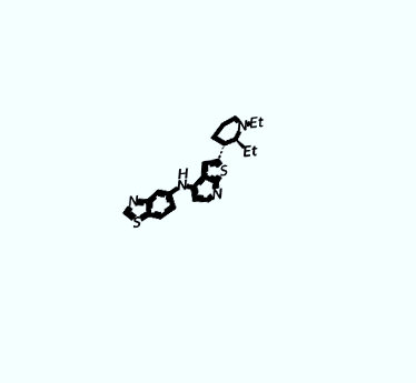 CC[C@H]1[C@H](c2cc3c(Nc4ccc5scnc5c4)ccnc3s2)CCCN1CC